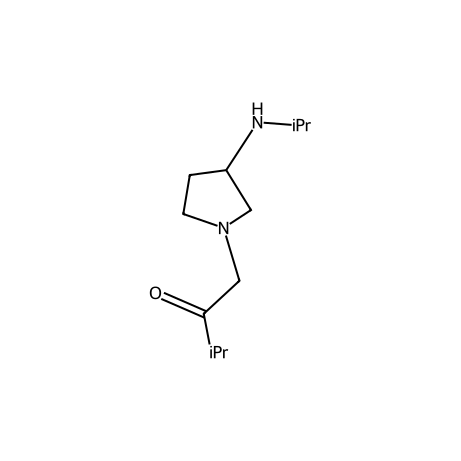 CC(C)NC1CCN(CC(=O)C(C)C)C1